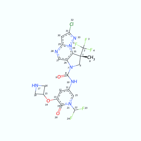 C[C@@]1(C(F)(F)F)CN(C(=O)Nc2cc(OC3CNC3)c(=O)n(C(F)F)c2)c2cnc3cc(Cl)nn3c21